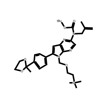 C=C(C)CN(C(=O)OC(C)(C)C)c1cnc2c(cc(-c3ccc(C4(C)OCCO4)cc3)n2COCC[Si](C)(C)C)n1